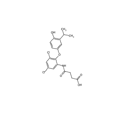 CC(C)c1cc(Oc2c(Cl)cc(Cl)cc2NC(=O)CCC(=O)O)ccc1O